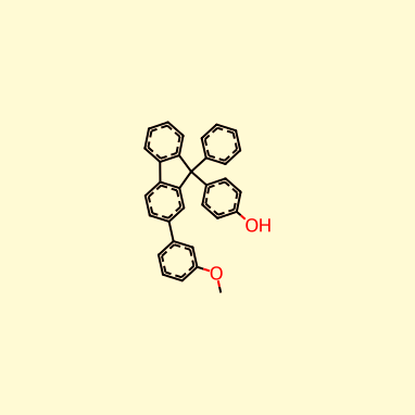 COc1cccc(-c2ccc3c(c2)C(c2ccccc2)(c2ccc(O)cc2)c2ccccc2-3)c1